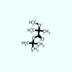 COC(C)(C)C(=O)OC(C)(C)C